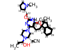 C=CC(O)N1CCN(c2nc(OC[C@@H]3CCCN3C)nc3c2CCC2(O3)c3ccccc3CC2(C)C)C[C@@H]1CC#N